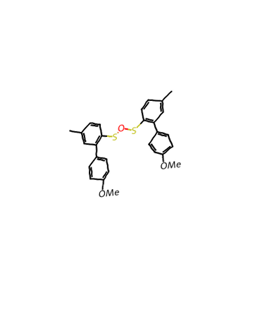 COc1ccc(-c2cc(C)ccc2SOSc2ccc(C)cc2-c2ccc(OC)cc2)cc1